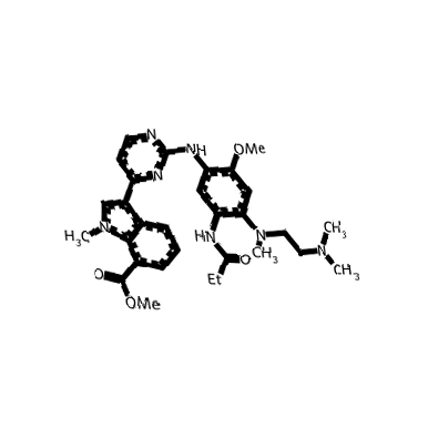 CCC(=O)Nc1cc(Nc2nccc(-c3cn(C)c4c(C(=O)OC)cccc34)n2)c(OC)cc1N(C)CCN(C)C